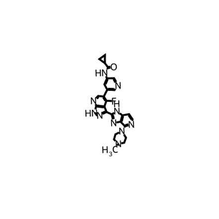 CN1CCN(c2nccc3[nH]c(-c4n[nH]c5ncc(-c6cncc(NC(=O)C7CC7)c6)c(F)c45)nc23)CC1